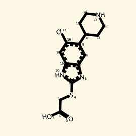 O=C(O)CSc1nc2cc(C3CCNCC3)c(Cl)cc2[nH]1